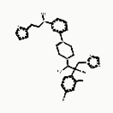 CC(N1CCN(c2cccc(N(C)CCc3cccs3)n2)CC1)C(O)(Cn1cncn1)c1ccc(F)cc1F